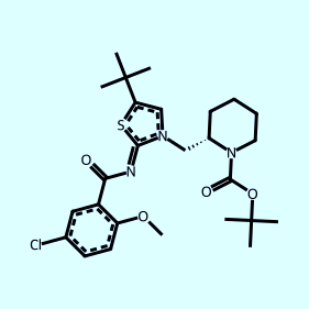 COc1ccc(Cl)cc1C(=O)/N=c1\sc(C(C)(C)C)cn1C[C@@H]1CCCCN1C(=O)OC(C)(C)C